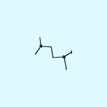 CN(C)CCN(I)I